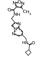 Cc1nonc1C(=O)NCc1cn2ncc(CNC(=O)C3CCC3)cc2n1